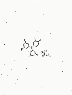 Fc1cc(F)cc([S+](c2cc(F)cc(F)c2)c2ccc(I)c(I)c2)c1.O=S(=O)([O-])C(F)(F)F